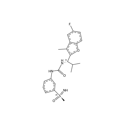 Cc1c([C@@H](NC(=O)Nc2cccc([S@](C)(=N)=O)c2)C(C)C)oc2ccc(F)cc12